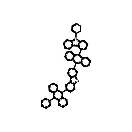 C1=CCCC(n2c3ccccc3c3c(-c4c5ccccc5c(-c5ccc6c(c5)oc5ccc(-c7c8ccccc8c(-c8ccccc8)c8ccccc78)cc56)c5ccccc45)cccc32)=C1